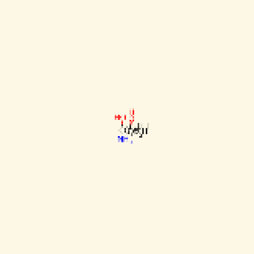 N.O=C(O)O.O=C(O)O.[LiH]